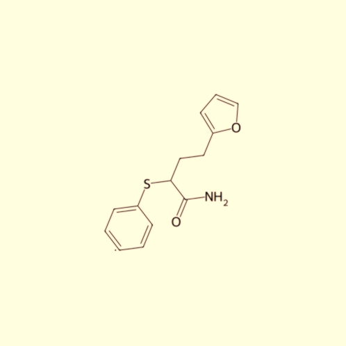 NC(=O)C(CCc1ccco1)Sc1cc[c]cc1